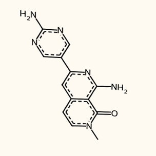 Cn1ccc2cc(-c3cnc(N)nc3)nc(N)c2c1=O